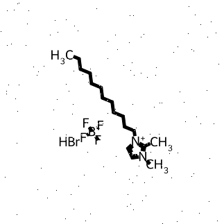 Br.CCCCCCCCCCCC[n+]1ccn(C)c1C.F[B-](F)(F)F